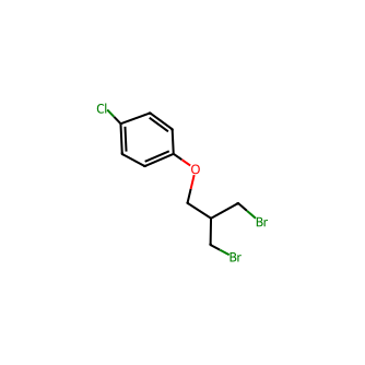 Clc1ccc(OCC(CBr)CBr)cc1